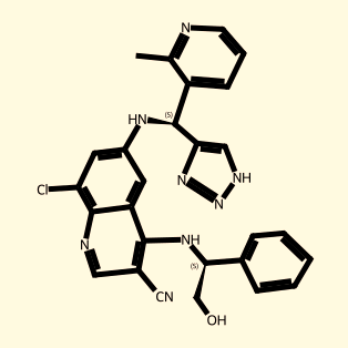 Cc1ncccc1[C@H](Nc1cc(Cl)c2ncc(C#N)c(N[C@H](CO)c3ccccc3)c2c1)c1c[nH]nn1